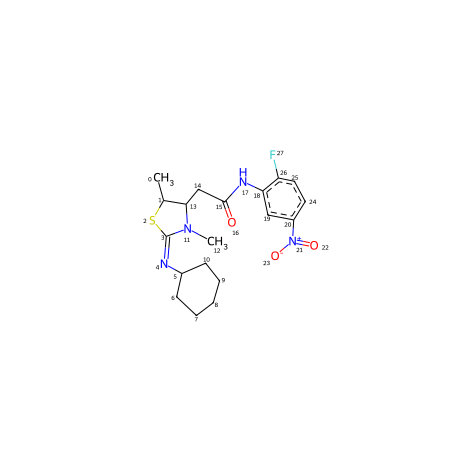 CC1SC(=NC2CCCCC2)N(C)C1CC(=O)Nc1cc([N+](=O)[O-])ccc1F